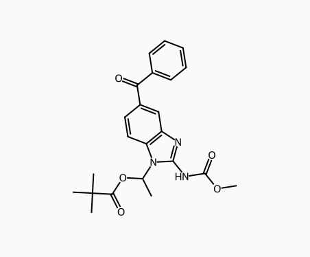 COC(=O)Nc1nc2cc(C(=O)c3ccccc3)ccc2n1C(C)OC(=O)C(C)(C)C